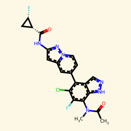 CC(=O)N(C)c1c(F)c(Cl)c(-c2ccn3nc(NC(=O)[C@@H]4C[C@@H]4F)cc3c2)c2cn[nH]c12